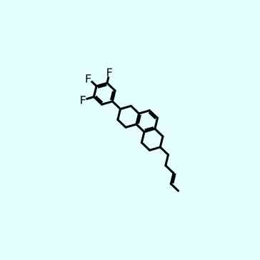 CC=CCCC1CCc2c(ccc3c2CCC(c2cc(F)c(F)c(F)c2)C3)C1